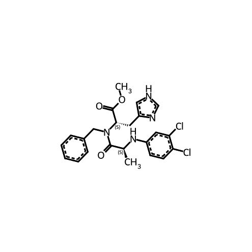 COC(=O)[C@H](Cc1c[nH]cn1)N(Cc1ccccc1)C(=O)[C@H](C)Nc1ccc(Cl)c(Cl)c1